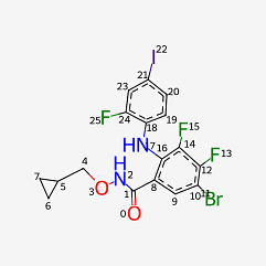 O=C(NOCC1CC1)c1cc(Br)c(F)c(F)c1Nc1ccc(I)cc1F